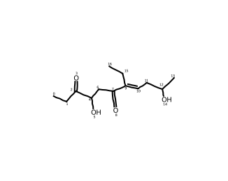 CCC(=O)C(O)CC(=O)/C(=C/CC(C)O)CC